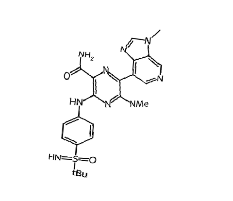 CNc1nc(Nc2ccc(S(=N)(=O)C(C)(C)C)cc2)c(C(N)=O)nc1-c1cncc2c1ncn2C